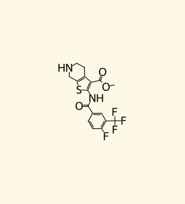 COC(=O)c1c(NC(=O)c2ccc(F)c(C(F)(F)F)c2)sc2c1CCNC2